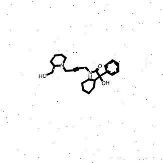 O=C(NCC#CCN1CCCCC1CO)C(O)(c1ccccc1)C1CCCCC1